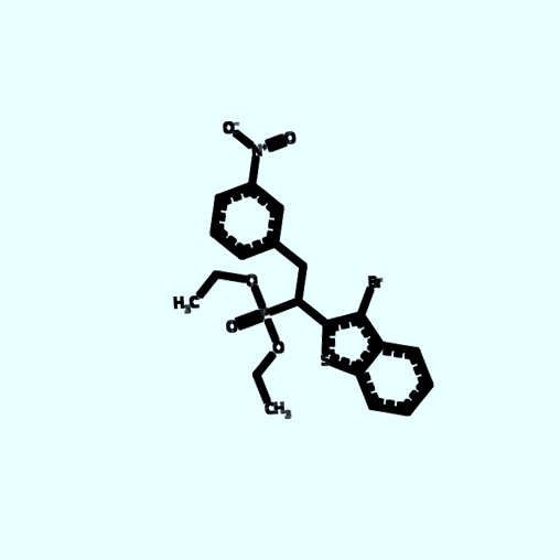 CCOP(=O)(OCC)C(Cc1cccc([N+](=O)[O-])c1)c1sc2ccccc2c1Br